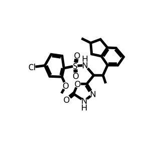 COc1cc(Cl)ccc1S(=O)(=O)NC(c1n[nH]c(=O)o1)C(C)c1cccc2c1CC(C)C2